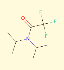 CC(C)N(C(=O)C(F)(F)F)C(C)C